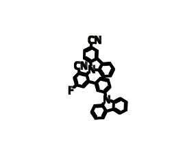 N#Cc1ccc2c(c1)c1ccccc1n2-c1c(C#N)cc(F)cc1-c1cccc(-n2c3ccccc3c3ccccc32)c1